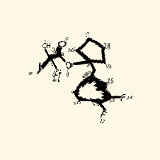 CCC(C)(I)C(=O)OC1(c2ccc(F)c(F)c2)CCCC1